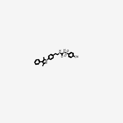 Cc1nn(-c2ccc(CCNC(=O)NS(=O)(=O)c3ccc(C#N)cc3)cc2)c(C)c1-c1ccccc1